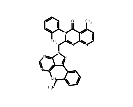 Cc1ccccc1-n1c(Cn2nc(-c3ccccc3CN)c3c(N)ncnc32)nc2nccc(C)c2c1=O